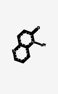 CCCn1c(=O)ccc2ncccc21